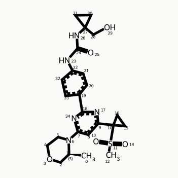 C[C@H]1COCCN1c1cc(C2(S(C)(=O)=O)CC2)nc(-c2ccc(NC(=O)NC3(CO)CC3)cc2)n1